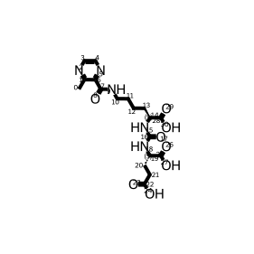 Cc1nccnc1C(=O)NCCCC[C@H](NC(=O)N[C@@H](CCC(=O)O)C(=O)O)C(=O)O